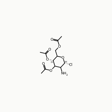 CC(=O)OCC1O[C@H](Cl)C(N)C(OC(C)=O)[C@@H]1OC(C)=O